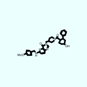 COc1ccc(CNc2ccc3ncn(CC4CCN(C(=O)C5CCC(O)CC5c5ccccc5)CC4)c(=O)c3n2)cc1